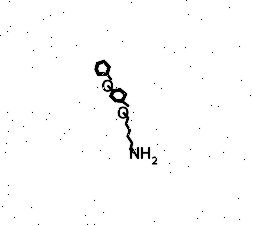 NCCCCCCOCc1ccc(OCc2ccccc2)cc1